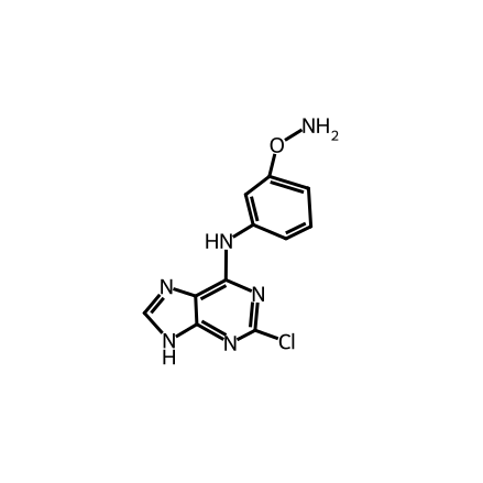 NOc1cccc(Nc2nc(Cl)nc3[nH]cnc23)c1